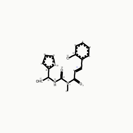 CN(C(=O)/C=C/c1ccccc1Cl)C(=O)NC(C=O)c1cccs1